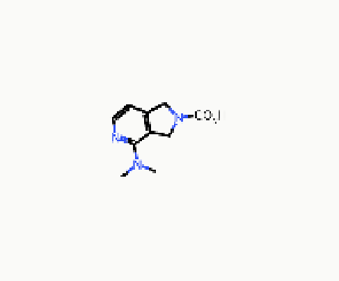 CN(C)c1nccc2c1CN(C(=O)O)C2